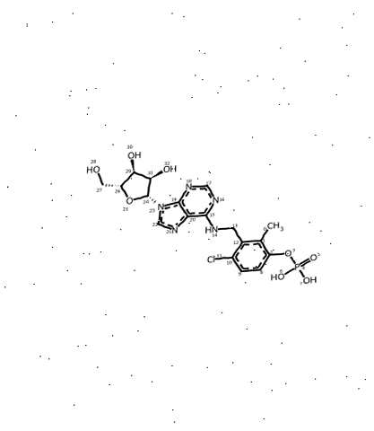 Cc1c(OP(=O)(O)O)ccc(Cl)c1CNc1ncnc2c1ncn2[C@@H]1O[C@H](CO)[C@@H](O)[C@H]1O